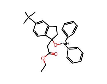 CCOC(=O)CC1(O[SiH](c2ccccc2)c2ccccc2)CCc2cc(C(C)(C)C)ccc21